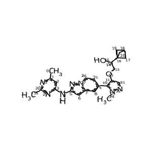 Cc1cc(Nc2cc3cc(-c4c(OC[C@@H](O)C56CC(C5)C6)cnn4C)ccn3n2)nc(C)n1